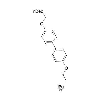 CCCCCCCCCCCOc1cnc(-c2ccc(OSC[C@@H](C)CC)cc2)nc1